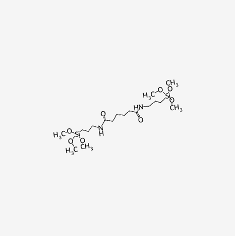 CO[Si](CCCNC(=O)CCCCC(=O)NCCC[Si](OC)(OC)OC)(OC)OC